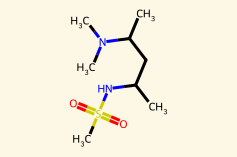 CC(CC(C)N(C)C)NS(C)(=O)=O